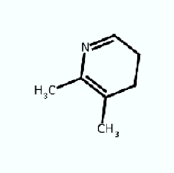 CC1=C(C)N=CCC1